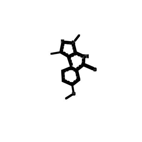 COc1ccc2c(c1)c(=O)[nH]c1c2c(C)nn1C